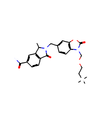 CC1c2cc(C(N)=O)ccc2C(=O)N1Cc1ccc2c(c1)oc(=O)n2COCC[Si](C)(C)C